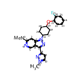 CNc1cc2c(cn1)c(-c1ccn(C)n1)nn2C1CCC(Oc2ccccc2F)CC1